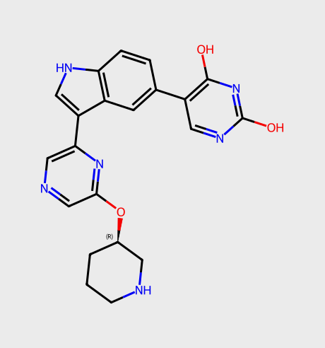 Oc1ncc(-c2ccc3[nH]cc(-c4cncc(O[C@@H]5CCCNC5)n4)c3c2)c(O)n1